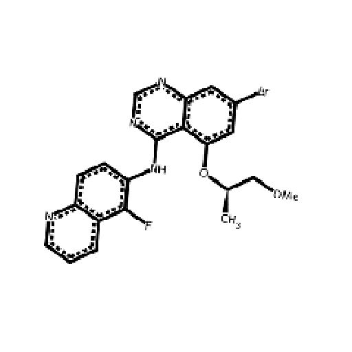 COC[C@@H](C)Oc1cc(Br)cc2ncnc(Nc3ccc4ncccc4c3F)c12